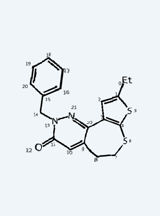 CCc1cc2c(s1)SCCc1cc(=O)n(Cc3ccccc3)nc1-2